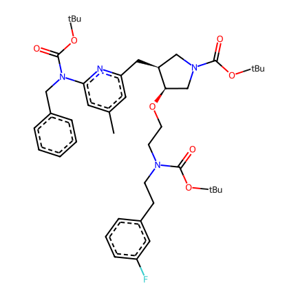 Cc1cc(C[C@H]2CN(C(=O)OC(C)(C)C)C[C@H]2OCCN(CCc2cccc(F)c2)C(=O)OC(C)(C)C)nc(N(Cc2ccccc2)C(=O)OC(C)(C)C)c1